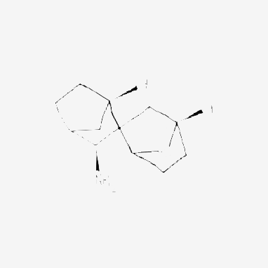 N[C@H]1C2CC[C@@H](C2)C12C[C@@H]1CCC2O1